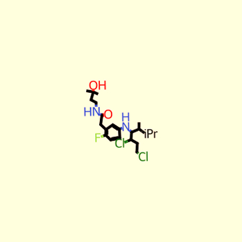 CC(C)C(C)C(Nc1ccc(F)c(CC(=O)NCCC(C)(C)O)c1)C(Cl)CCCl